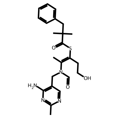 CC(=C(CCO)SC(=O)C(C)(C)Cc1ccccc1)N(C=O)Cc1cnc(C)nc1N